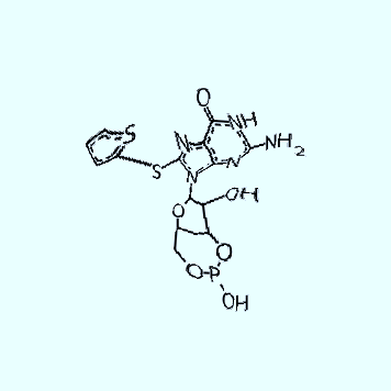 Nc1nc2c(nc(Sc3cccs3)n2C2OC3COP(O)OC3C2O)c(=O)[nH]1